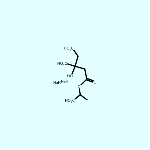 CC(OC(=O)CC(O)(CC(=O)O)C(=O)O)C(=O)O.[NaH].[NaH]